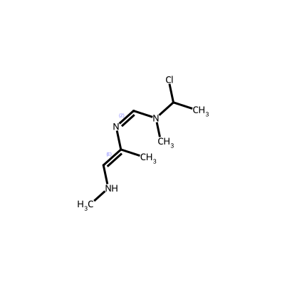 CN/C=C(C)/N=C\N(C)C(C)Cl